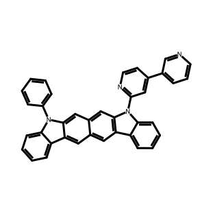 c1ccc(-n2c3ccccc3c3cc4cc5c6ccccc6n(-c6cc(-c7cccnc7)ccn6)c5cc4cc32)cc1